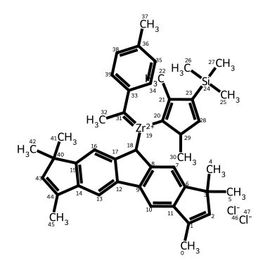 CC1=CC(C)(C)c2cc3c(cc21)-c1cc2c(cc1[CH]3/[Zr+2]([C]1=C(C)C([Si](C)(C)C)=CC1C)=[C](\C)c1ccc(C)cc1)C(C)(C)C=C2C.[Cl-].[Cl-]